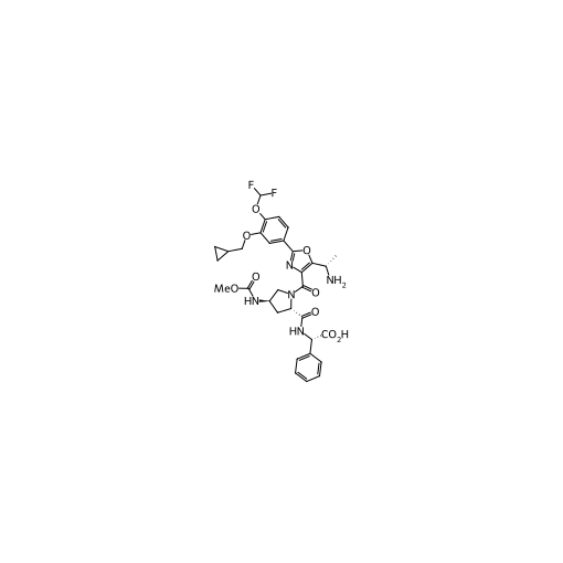 COC(=O)N[C@@H]1C[C@@H](C(=O)N[C@H](C(=O)O)c2ccccc2)N(C(=O)c2nc(-c3ccc(OC(F)F)c(OCC4CC4)c3)oc2[C@H](C)N)C1